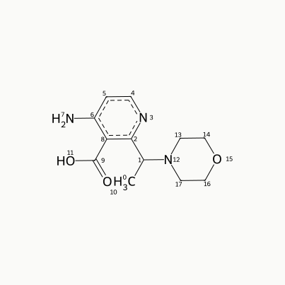 CC(c1nccc(N)c1C(=O)O)N1CCOCC1